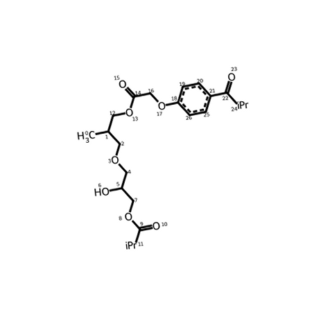 CC(COCC(O)COC(=O)C(C)C)COC(=O)COc1ccc(C(=O)C(C)C)cc1